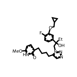 CCC(O)(Cn1nncc1CCCCc1ccc(OC)[nH]c1=O)c1ccc(F)c(OCC2CC2)c1